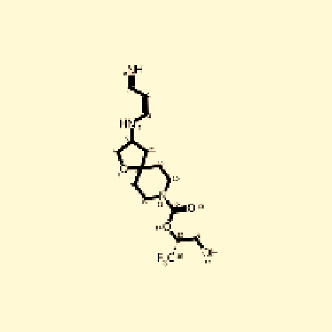 N=C/C=C\NC1COC2(CCN(C(=O)O[C@H](CO)C(F)(F)F)CC2)C1